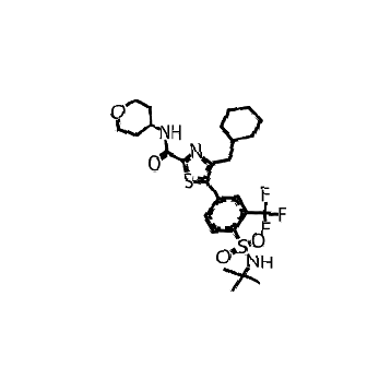 CC(C)(C)NS(=O)(=O)c1ccc(-c2sc(C(=O)NC3CCOCC3)nc2CC2CCCCC2)cc1C(F)(F)F